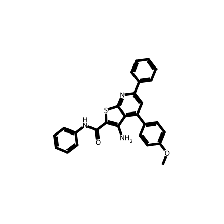 COc1ccc(-c2cc(-c3ccccc3)nc3sc(C(=O)Nc4ccccc4)c(N)c23)cc1